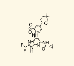 CC1(C)CC[C@H](c2ccc(Nc3cc(NC(=O)C4CC4)nc4[nH]c(C(F)F)nc34)c(S(C)(=O)=O)c2)OC1